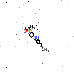 CCCCc1ccc(CNC2CCC(NS(=O)(=O)C(C)(C)C)CC2)cc1